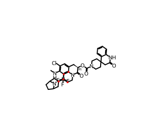 CNc1c(Cl)cc(C[C@@H](OC(=O)N2CCC3(CC2)CC(=O)Nc2ccccc23)C(=O)N2CCN(C3CC4CCC(C3)N4C)CC2)cc1C(F)(F)F